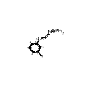 Cc1cccc(OP=NP)c1